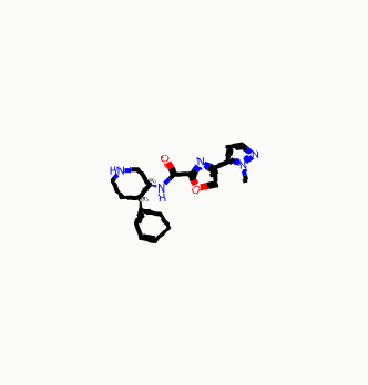 Cn1nccc1-c1coc(C(=O)N[C@H]2CNCC[C@@H]2C2=CC=CCC2)n1